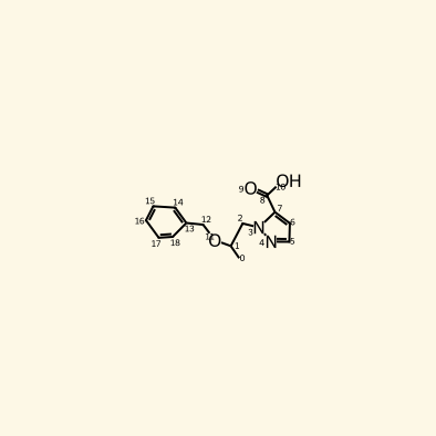 CC(Cn1nccc1C(=O)O)OCc1ccccc1